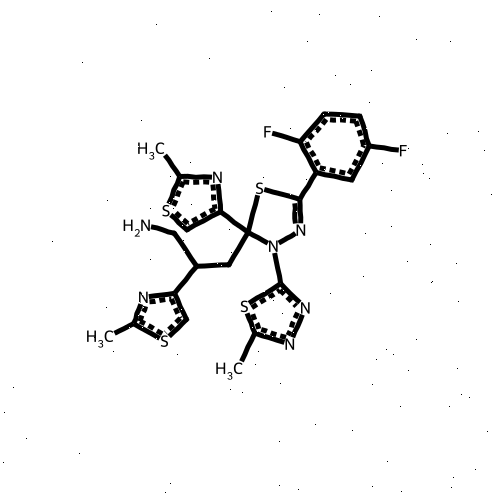 Cc1nc(C(CN)CC2(c3csc(C)n3)SC(c3cc(F)ccc3F)=NN2c2nnc(C)s2)cs1